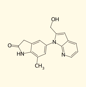 Cc1cc(-n2c(CO)cc3cccnc32)cc2c1NC(=O)C2